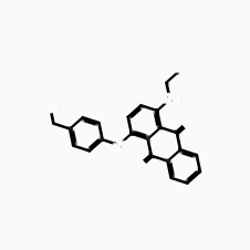 CCC(C)Cc1ccc(Nc2ccc(NCI)c3c2C(=O)c2ccccc2C3=O)cc1